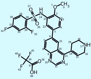 COc1ncc(-c2ccc3ncnc(C4=CCNCC4)c3c2)cc1NS(=O)(=O)c1ccc(F)cc1F.O=C(O)C(F)(F)F